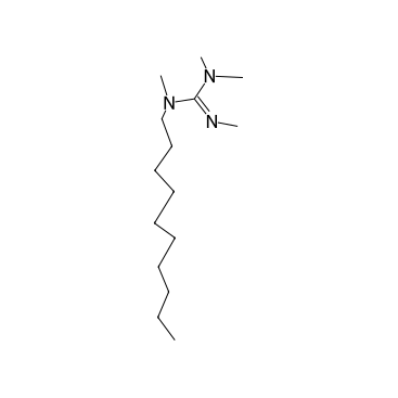 CCCCCCCCCCN(C)C(=NC)N(C)C